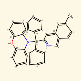 Cc1ccc2cnc([Si](c3ccccc3)(c3ccccc3)N3c4ccccc4Oc4ccccc43)cc2c1